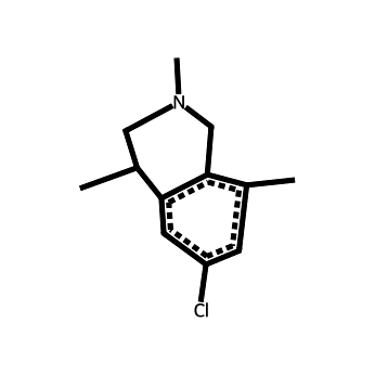 Cc1cc(Cl)cc2c1CN(C)CC2C